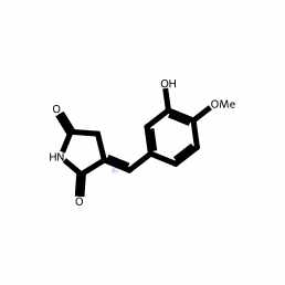 COc1ccc(/C=C2\CC(=O)NC2=O)cc1O